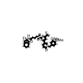 CCC1(NC(=O)CCCS(=O)(=O)c2nc(-c3ccc(=O)n(Cc4ccc(OC)c(OC)c4)c3)cc(C(F)F)n2)CC2CCCC(C2)C1